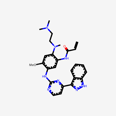 C=CC(=O)Nc1cc(Nc2nccc(-c3n[nH]c4ccccc34)n2)c(OC)cc1N(C)CCN(C)C